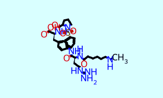 CNCCCCCC(=O)N[C@@H](CCNC(=N)N)C(=O)Nc1ccc(C[C@H](NC(=O)C2CCCN2S(=O)(=O)c2ccccc2)C(=O)O)cc1